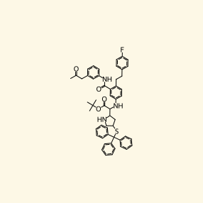 CC(=O)Cc1cccc(NC(=O)c2cc(NC(C(=O)OC(C)(C)C)C3CC(SC(c4ccccc4)(c4ccccc4)c4ccccc4)CN3)ccc2CCc2ccc(F)cc2)c1